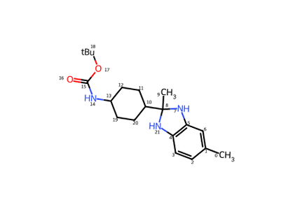 Cc1ccc2c(c1)NC(C)(C1CCC(NC(=O)OC(C)(C)C)CC1)N2